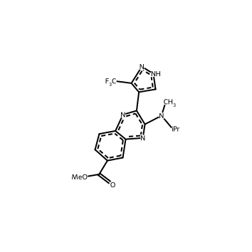 COC(=O)c1ccc2nc(-c3c[nH]nc3C(F)(F)F)c(N(C)C(C)C)nc2c1